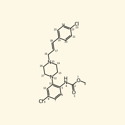 COC(=O)Nc1ccc(Cl)cc1N1CCN(CC=Cc2ccc(Cl)cc2)CC1